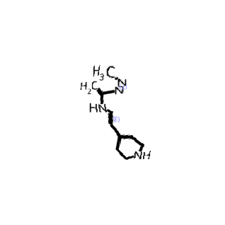 C=C(/N=N\C)N/C=C/C1CCNCC1